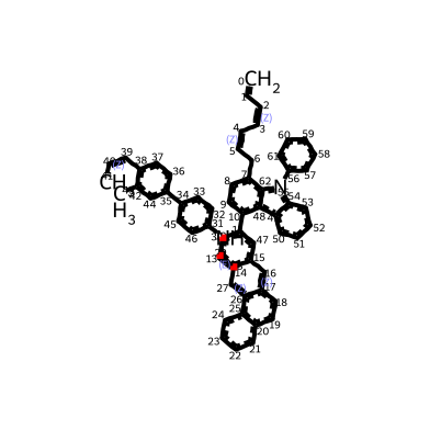 C=C/C=C\C=C/Cc1ccc(-c2cccc(/C=c3/ccc4ccccc4/c3=C/C=C/Nc3ccc(-c4ccc(/C=C\C)c(C)c4)cc3)c2)c2c3ccccc3n(-c3ccccc3)c12